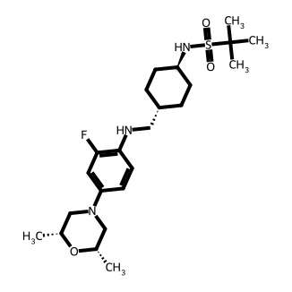 C[C@@H]1CN(c2ccc(NC[C@H]3CC[C@H](NS(=O)(=O)C(C)(C)C)CC3)c(F)c2)C[C@H](C)O1